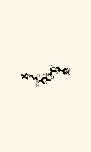 Cc1ncc(NC(=O)CCN2CC(C)(C)C2)cc1NC(=O)c1cnn2cc(-c3cnn(C)c3)sc12